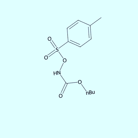 CCCCOC(=O)NOS(=O)(=O)c1ccc(C)cc1